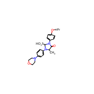 CCCOc1ccc(N2C(=O)C(C)N(c3ccc(N4CCOCC4)cc3)C2S(=O)(=O)O)cc1